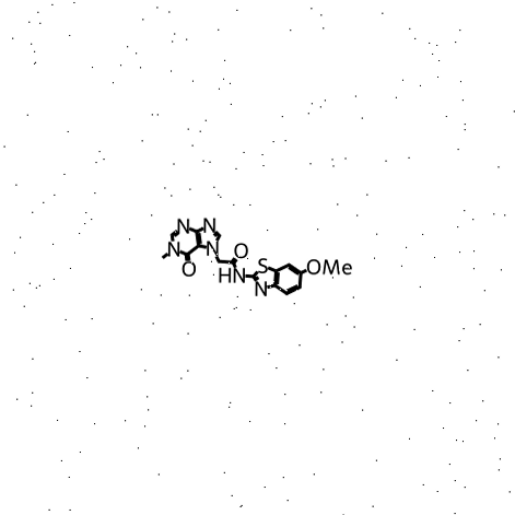 COc1ccc2nc(NC(=O)Cn3cnc4ncn(C)c(=O)c43)sc2c1